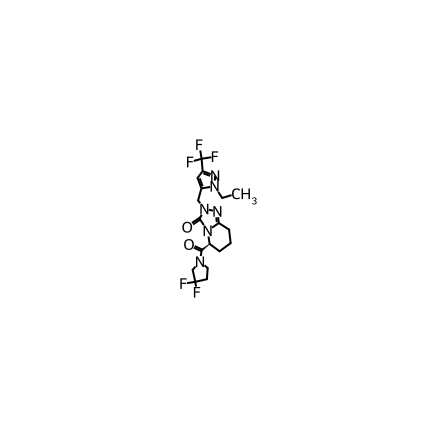 CCn1nc(C(F)(F)F)cc1Cn1nc2n(c1=O)[C@H](C(=O)N1CCC(F)(F)C1)CCC2